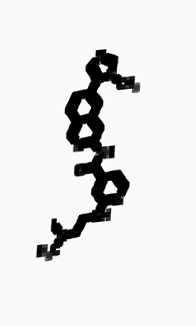 CN(I)CCNc1cc(C(=O)Nc2cc3cc(-c4cncn4C)ccc3cn2)ccn1